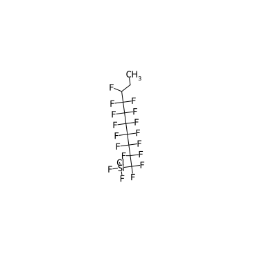 CCC(F)C(F)(F)C(F)(F)C(F)(F)C(F)(F)C(F)(F)C(F)(F)C(F)(F)[Si](F)(F)Cl